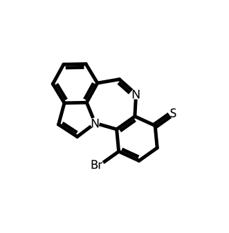 S=C1CC=C(Br)C2=C1N=Cc1cccc3ccn2c13